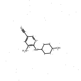 N#Cc1cnc(NC2CCC(O)CC2)c(N)c1